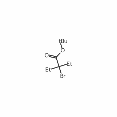 CCC(Br)(CC)C(=O)OC(C)(C)C